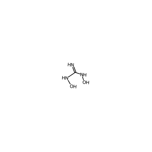 N=C(NO)NO